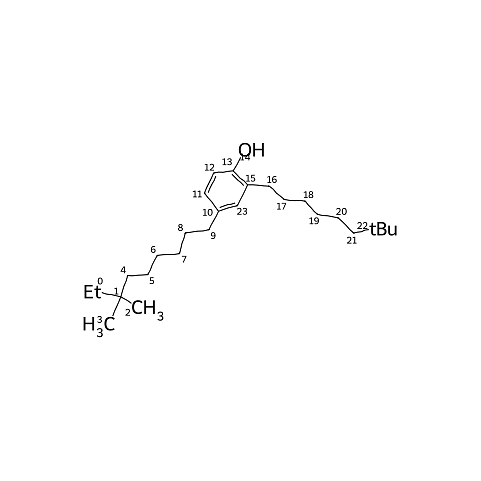 CCC(C)(C)CCCCCCc1ccc(O)c(CCCCCCC(C)(C)C)c1